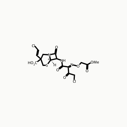 COC(=O)CON=C(C(=O)CCl)C(=O)NC1C(=O)N2CC(C=CCl)(C(=O)O)CS[C@H]12